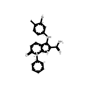 Cc1ccc(Nc2c(C(N)=O)sc3c2ccc(=O)n3-c2ccccc2)cc1Br